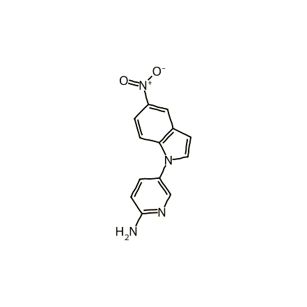 Nc1ccc(-n2ccc3cc([N+](=O)[O-])ccc32)cn1